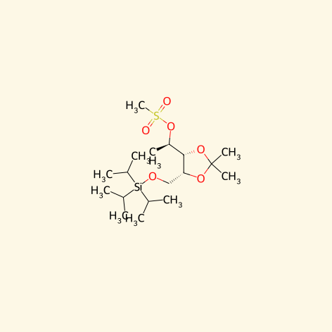 CC(C)[Si](OC[C@H]1OC(C)(C)O[C@H]1[C@@H](C)OS(C)(=O)=O)(C(C)C)C(C)C